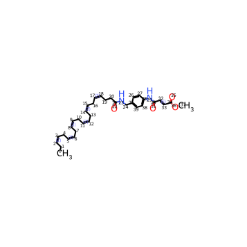 CC/C=C\C/C=C\C/C=C\C/C=C\C/C=C\C/C=C\CCC(=O)NCc1ccc(NC(=O)/C=C/C(=O)OC)cc1